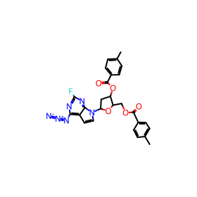 Cc1ccc(C(=O)OCC2OC(n3ccc4c(N=[N+]=[N-])nc(F)nc43)CC2OC(=O)c2ccc(C)cc2)cc1